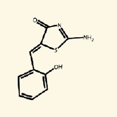 NC1=NC(=O)C(=Cc2ccccc2O)S1